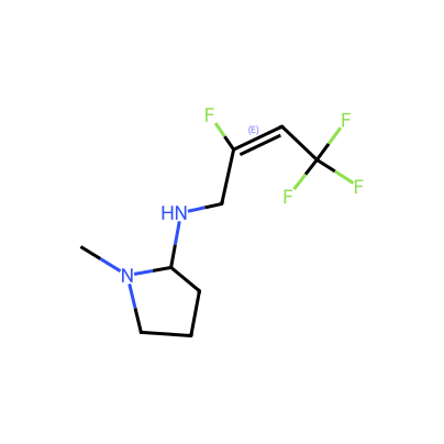 CN1CCCC1NC/C(F)=C\C(F)(F)F